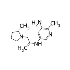 C=C(CN1CCC[C@@H]1C)Nc1cnc(C)c(N)c1